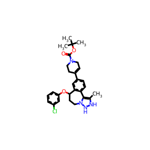 CC1=C2c3ccc(C4=CCN(C(=O)OC(C)(C)C)CC4)cc3C(Oc3cccc(Cl)c3)CCN2NN1